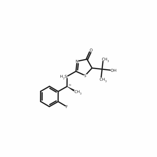 C[C@H]([SiH2]C1=NC(=O)C(C(C)(C)O)S1)c1ccccc1F